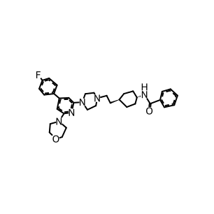 O=C(N[C@H]1CC[C@H](CCN2CCN(c3cc(-c4ccc(F)cc4)cc(N4CCOCC4)n3)CC2)CC1)c1ccccc1